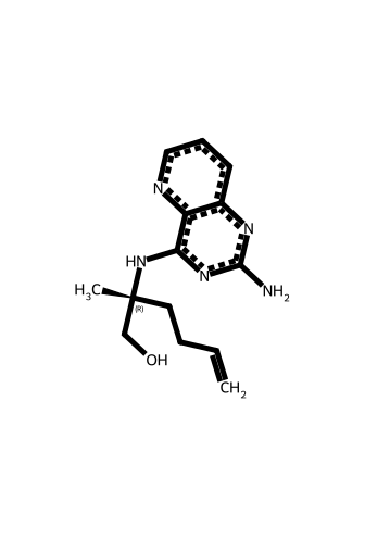 C=CCC[C@](C)(CO)Nc1nc(N)nc2cccnc12